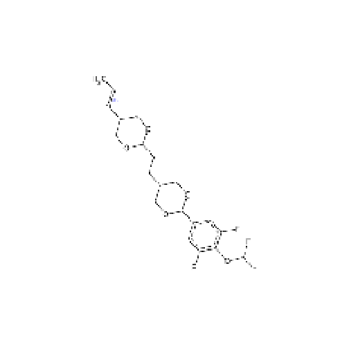 C/C=C/C1COC(CCC2COC(c3cc(F)c(OC(F)F)c(F)c3)OC2)OC1